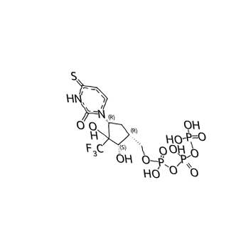 O=c1[nH]c(=S)ccn1[C@@H]1C[C@H](COP(=O)(O)OP(=O)(O)OP(=O)(O)O)[C@H](O)C1(O)C(F)(F)F